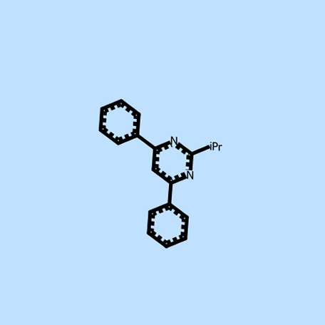 CC(C)c1nc(-c2ccccc2)cc(-c2ccccc2)n1